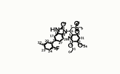 CCOc1nc(C(CS(C)(=O)=O)n2c(=O)[nH]c3cc(-c4cc(C)ccc4F)ccc32)ccc1OC